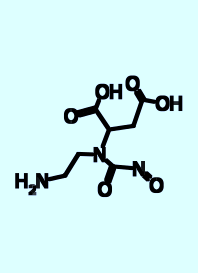 NCCN(C(=O)N=O)C(CC(=O)O)C(=O)O